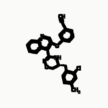 C#Cc1cccc(Oc2cnc3ccccc3c2C2=NOC[C@@H](Cc3ccc(C)cc3Cl)N2)c1